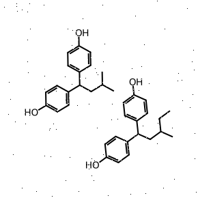 CC(C)CC(c1ccc(O)cc1)c1ccc(O)cc1.CCC(C)CC(c1ccc(O)cc1)c1ccc(O)cc1